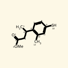 COC(=O)CC(C)c1ccc(S)cc1C